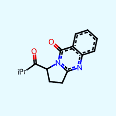 CC(C)C(=O)C1CCc2nc3ccccc3c(=O)n21